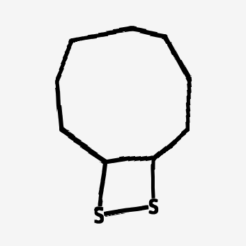 C1CCCC2SSC2CCC1